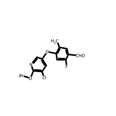 Cc1cc(C=O)c(F)cc1Oc1cnc(OC(C)C)c(Cl)c1